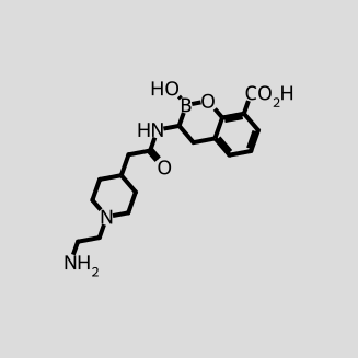 NCCN1CCC(CC(=O)NC2Cc3cccc(C(=O)O)c3OB2O)CC1